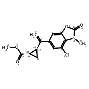 C=C(c1cc(Cl)c2c(c1)oc(=O)n2C)[C@H]1C[C@@H]1C(=O)OC